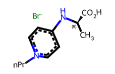 CCC[n+]1ccc(N[C@H](C)C(=O)O)cc1.[Br-]